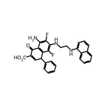 Nc1c(F)c(NCCNc2cccc3ccccc23)c(F)c2c1C(=O)C(C(=O)O)=CC2c1ccccc1